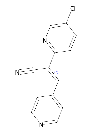 N#C/C(=C\c1ccncc1)c1ccc(Cl)cn1